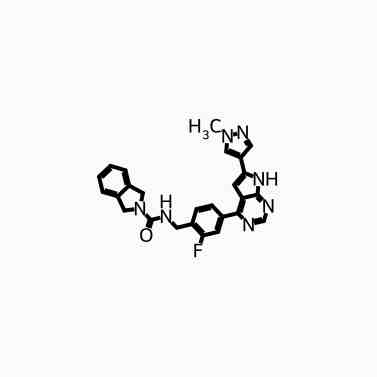 Cn1cc(-c2cc3c(-c4ccc(CNC(=O)N5Cc6ccccc6C5)c(F)c4)ncnc3[nH]2)cn1